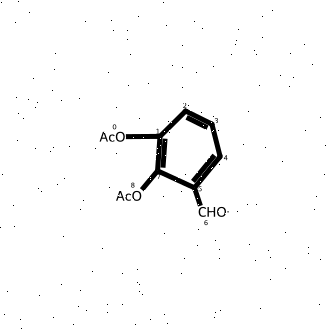 CC(=O)Oc1cccc([C]=O)c1OC(C)=O